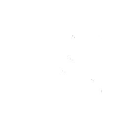 CCCOc1ccc2nc(C(F)(F)F)c(CN3CCCC3=O)n2n1